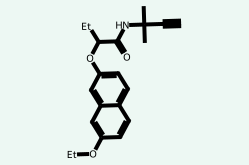 C#CC(C)(C)NC(=O)C(CC)Oc1ccc2ccc(OCC)cc2c1